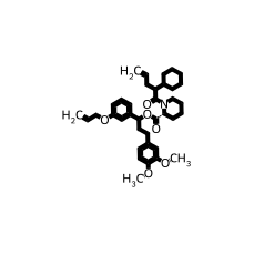 C=CCOc1cccc(C(CCc2ccc(OC)c(OC)c2)OC(=O)[C@H]2CCCCN2C(=O)C(CC=C)C2CCCCC2)c1